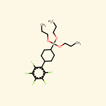 CCCO[Si](OCCC)(OCCC)C1CCC(c2c(F)c(F)c(F)c(F)c2F)CC1